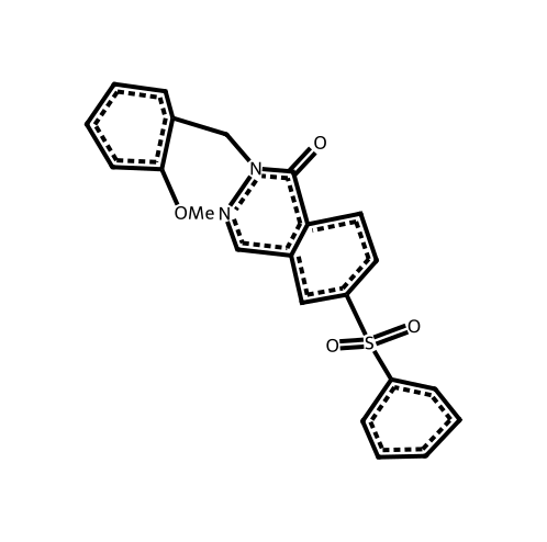 COc1ccccc1Cn1ncc2cc(S(=O)(=O)c3ccccc3)ccc2c1=O